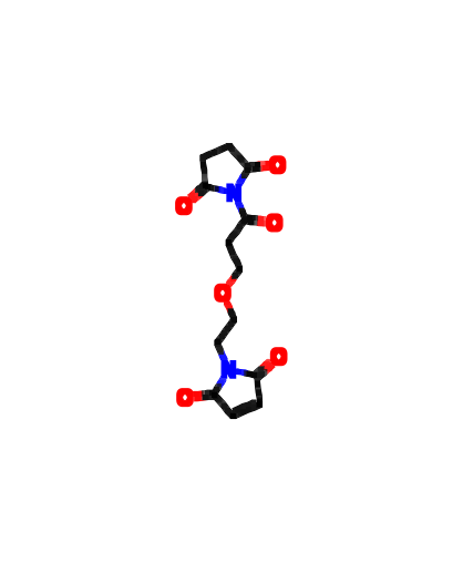 O=C1C=CC(=O)N1CCOCCC(=O)N1C(=O)CCC1=O